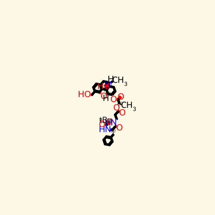 C[C@H](OC(=O)CCNC(=O)[C@H](Cc1ccccc1)NC(=O)OC(C)(C)C)C(=O)OC1=CC[C@@]2(O)[C@H]3Cc4ccc(CO)c5c4[C@@]2(CCN3C)[C@H]1O5